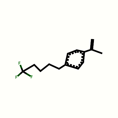 C=C(C)c1ccc(CCCCC(F)(F)F)cc1